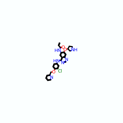 C=CC(=O)Nc1cc2c(Nc3ccc(OCc4ccccn4)c(Cl)c3)ncnc2cc1OC1CCNC1